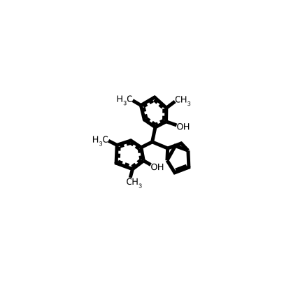 Cc1cc(C)c(O)c(C(c2cc(C)cc(C)c2O)C2CC3C=CC2C3)c1